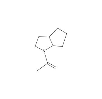 C=C(C)N1CCC2CCCC21